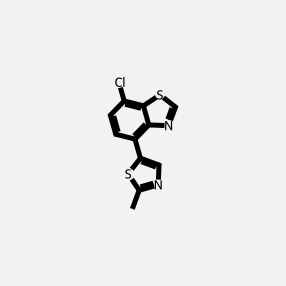 Cc1ncc(-c2ccc(Cl)c3scnc23)s1